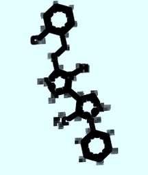 CCn1c(SCc2ccccc2Cl)nnc1-c1cnn(-c2ccccc2)c1C(F)(F)F